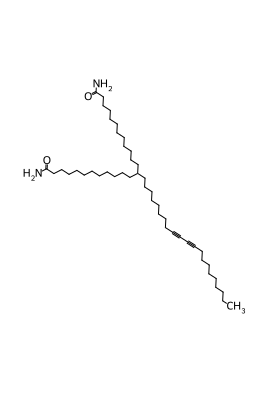 CCCCCCCCCC#CC#CCCCCCCCCC(CCCCCCCCCCCC(N)=O)CCCCCCCCCCCC(N)=O